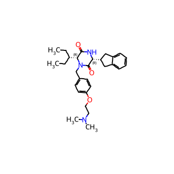 CCC(CC)[C@@H]1C(=O)N[C@H](C2Cc3ccccc3C2)C(=O)N1Cc1ccc(OCCN(C)C)cc1